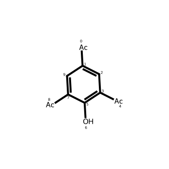 CC(=O)c1cc(C(C)=O)c(O)c(C(C)=O)c1